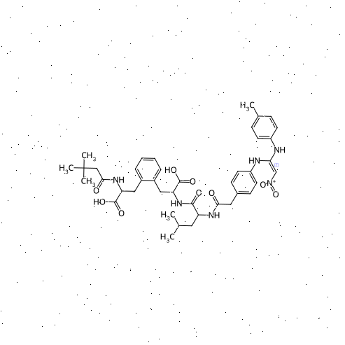 Cc1ccc(N/C(=C/[N+](=O)[O-])Nc2ccc(CC(=O)NC(CC(C)C)C(=O)NC(Cc3ccccc3CC(NC(=O)CC(C)(C)C)C(=O)O)C(=O)O)cc2)cc1